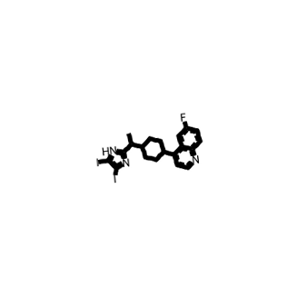 CC(c1nc(I)c(I)[nH]1)C1CCC(c2ccnc3ccc(F)cc23)CC1